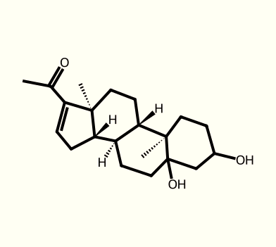 CC(=O)C1=CC[C@H]2[C@@H]3CCC4(O)CC(O)CC[C@]4(C)[C@H]3CC[C@]12C